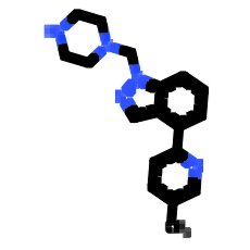 Cc1ccc(-c2cccc3c2cnn3CN2CCNCC2)nc1